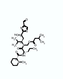 CCC[C@H](NC(=O)[C@H]1CCCCN1C)C(=O)N(COC(=O)CC(C)C)[C@H](C[C@@H](O)c1nc(C=O)cs1)C(C)C